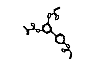 C=CC(=O)Oc1ccc(-c2cc(OC(=O)C=C)cc(OC(=O)C(=C)C)c2)cc1